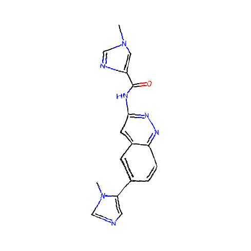 Cn1cnc(C(=O)Nc2cc3cc(-c4cncn4C)ccc3nn2)c1